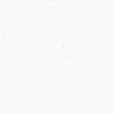 Cc1cc2cc(C(=O)N(Cc3ncc(C(F)(F)F)cc3F)CC(C)C)ccc2nc1N